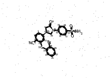 N#Cc1ccc([C@H]2CC(=O)N(c3ccc(S(N)(=O)=O)cc3)C2)cc1Sc1ccccc1Br